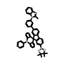 Cc1nc2ccccc2n1-c1cccc(-c2ccc3c(c2)C2(c4cc(B5OC(C)(C)C(C)(C)O5)ccc4-3)c3ccccc3N(c3ccccc3)c3ccccc32)c1